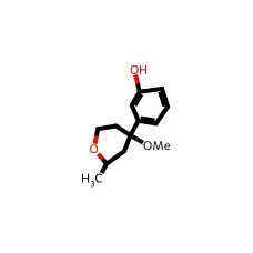 COC1(c2cccc(O)c2)CCOC(C)C1